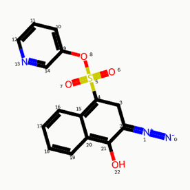 [N-]=[N+]=C1CC(S(=O)(=O)Oc2cccnc2)=c2ccccc2=C1O